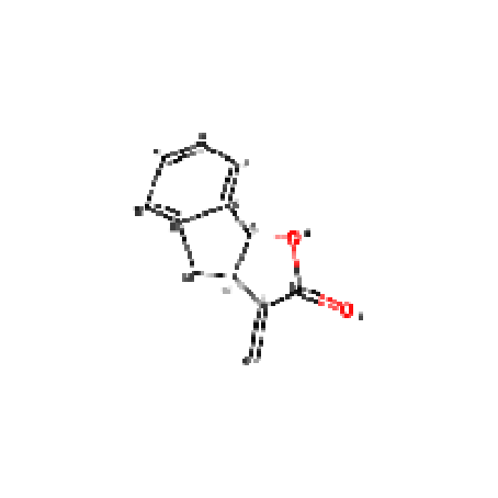 C=C1C(=O)OC2c3ccccc3CC12